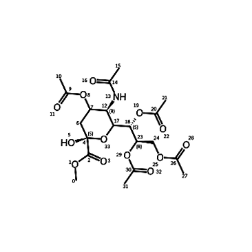 COC(=O)[C@]1(O)CC(OC(C)=O)[C@@H](NC(C)=O)C([C@H](OC(C)=O)[C@@H](COC(C)=O)OC(C)=O)O1